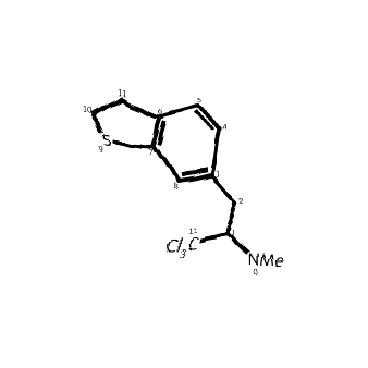 CNC(Cc1ccc2c(c1)SCC2)C(Cl)(Cl)Cl